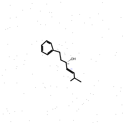 CC(C)/C=C/[C@@H](O)CCc1ccccc1